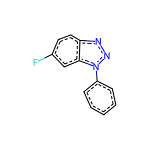 Fc1ccc2nnn(-c3ccccc3)c2c1